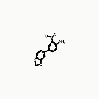 Nc1ccc(-c2ccc3c(c2)OCO3)cc1[N+](=O)[O-]